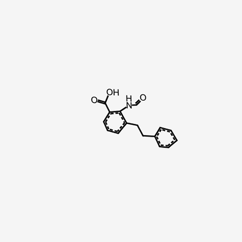 O=CNc1c(CCc2ccccc2)cccc1C(=O)O